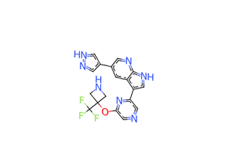 FC(F)(F)C1(Oc2cncc(-c3c[nH]c4ncc(-c5cn[nH]c5)cc34)n2)CNC1